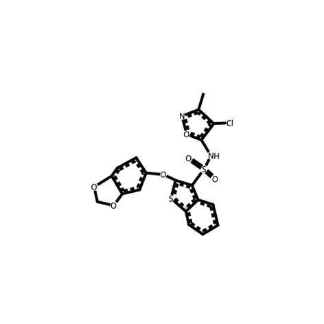 Cc1noc(NS(=O)(=O)c2c(Oc3ccc4c(c3)OCO4)sc3ccccc23)c1Cl